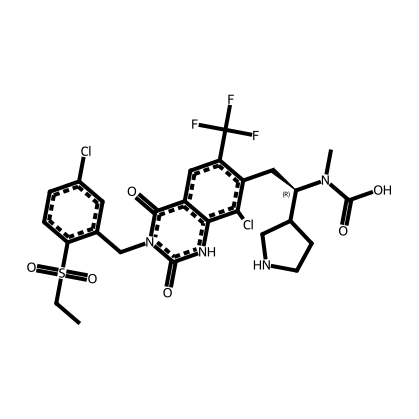 CCS(=O)(=O)c1ccc(Cl)cc1Cn1c(=O)[nH]c2c(Cl)c(C[C@H](C3CCNC3)N(C)C(=O)O)c(C(F)(F)F)cc2c1=O